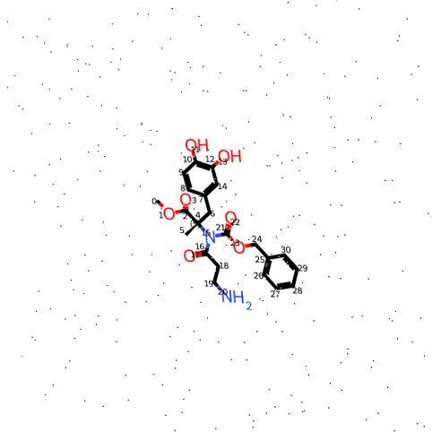 COC(=O)[C@](C)(Cc1ccc(O)c(O)c1)N(C(=O)CCN)C(=O)OCc1ccccc1